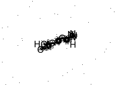 Cc1c(OCc2ccc(Oc3cccc(-c4nnn[nH]4)c3)cc2)ccc(CC=O)c1O